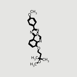 COc1ccc(-c2nc3c4cccc(OCCC(C)(C)OC)c4ncn3n2)cc1